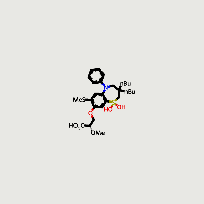 CCCCC1(CCCC)CN(c2ccccc2)c2cc(SC)c(OC[C@H](OC)C(=O)O)cc2S(O)(O)C1